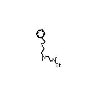 CCN(C)CCN(C)CCSCc1ccccc1